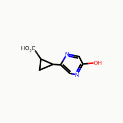 O=C(O)C1CC1c1cnc(O)cn1